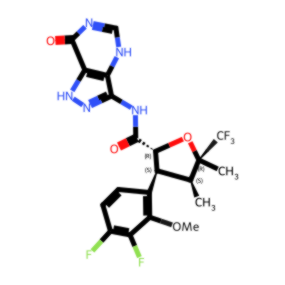 COc1c([C@H]2[C@H](C(=O)Nc3n[nH]c4c(=O)nc[nH]c34)O[C@@](C)(C(F)(F)F)[C@H]2C)ccc(F)c1F